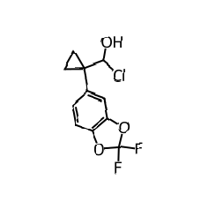 OC(Cl)C1(c2ccc3c(c2)OC(F)(F)O3)CC1